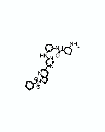 NC1CCCC(C(=O)Nc2cccc(Nc3cc(-c4cnc5c(ccn5S(=O)(=O)c5ccccc5)c4)ncn3)c2)C1